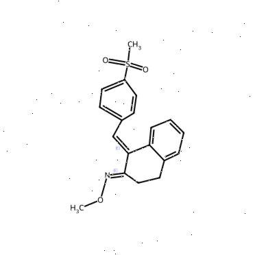 CO/N=C1\CCc2ccccc2\C1=C/c1ccc(S(C)(=O)=O)cc1